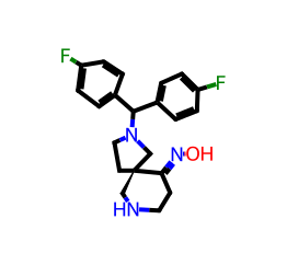 O/N=C1\CCNC[C@]12CCN(C(c1ccc(F)cc1)c1ccc(F)cc1)C2